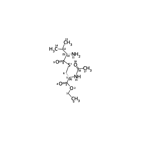 CCOC(=O)[C@H](CSC(=O)[C@@H](N)C(C)C)NC(C)=O